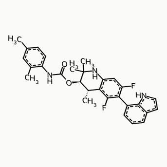 Cc1ccc(NC(=O)O[C@@H]2[C@@H](C)c3c(cc(F)c(-c4cccc5cc[nH]c45)c3F)NC2(C)C)c(C)c1